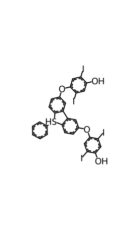 Oc1cc(I)c(Oc2ccc3c(c2)-c2cc(Oc4cc(I)c(O)cc4I)ccc2[SH]3c2ccccc2)cc1I